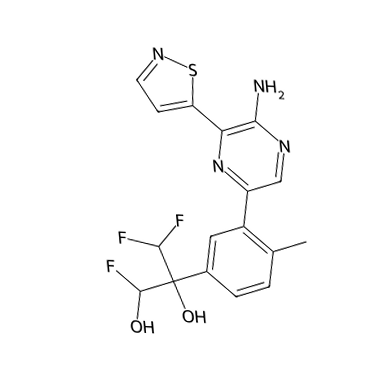 Cc1ccc(C(O)(C(O)F)C(F)F)cc1-c1cnc(N)c(-c2ccns2)n1